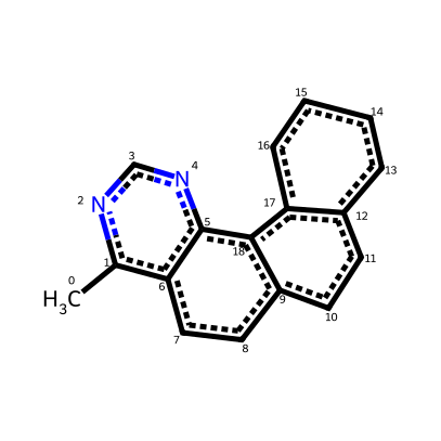 Cc1ncnc2c1ccc1ccc3ccccc3c12